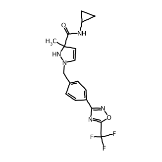 CC1(C(=O)NC2CC2)C=CN(Cc2ccc(-c3noc(C(F)(F)F)n3)cc2)N1